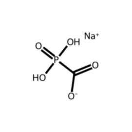 O=C([O-])P(=O)(O)O.[Na+]